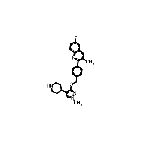 Cc1cc2cc(F)ccc2nc1-c1ccc(COc2nn(C)cc2C2CCNCC2)cc1